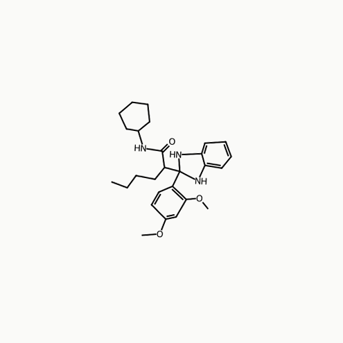 CCCCC(C(=O)NC1CCCCC1)C1(c2ccc(OC)cc2OC)Nc2ccccc2N1